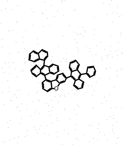 c1ccc(-c2c3ccccc3c(-c3ccc4c(c3)oc3cccc(-c5c6ccccc6c(-c6cccc7ccccc67)c6ccccc56)c34)c3ccccc23)cc1